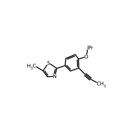 CC#Cc1cc(-c2ncc(C)s2)ccc1OC(C)C